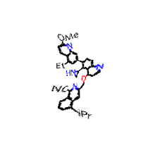 CCc1cc(-c2ccc3nccc(OCc4cc5c(C(C)C)cccc5c(C#N)n4)c3c2C2CN2)cc2nc(OC)ccc12